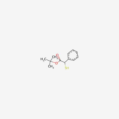 CC(C)(C)OC(=O)C(S)c1ccccc1